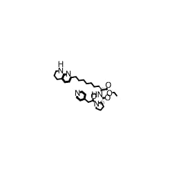 CCOC(=O)[C@H](CCCCCCCc1ccc2c(n1)NCCC2)NC(=O)[C@@H]1CCCN1C(=O)Cc1ccncc1